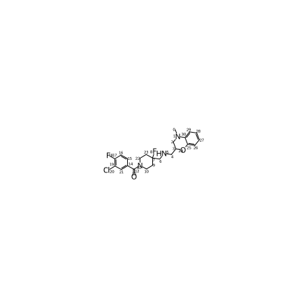 CN1CC(CNCC2(F)CCN(C(=O)c3ccc(F)c(Cl)c3)CC2)Oc2ccccc21